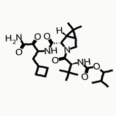 CC(C)C(C)OC(=O)N[C@H](C(=O)N1CC2[C@H]([C@H]1C(=O)NC(CC1CCC1)C(=O)C(N)=O)C2(C)C)C(C)(C)C